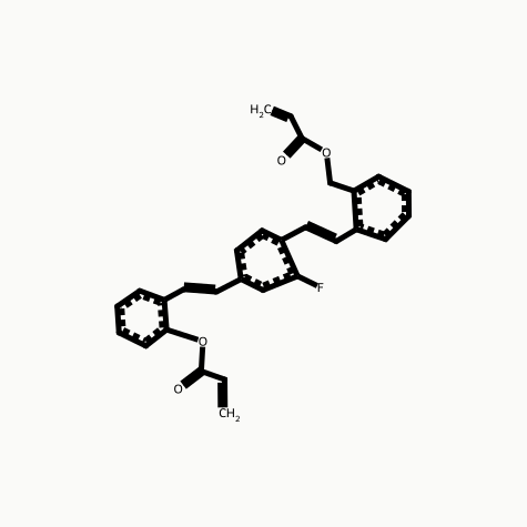 C=CC(=O)OCc1ccccc1/C=C/c1ccc(/C=C/c2ccccc2OC(=O)C=C)cc1F